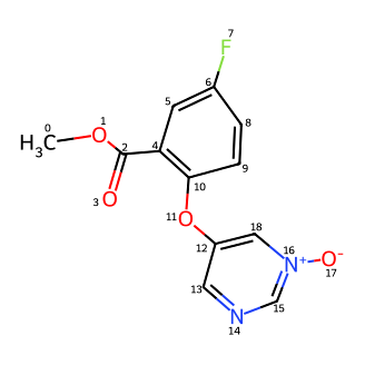 COC(=O)c1cc(F)ccc1Oc1cnc[n+]([O-])c1